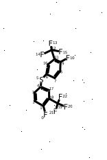 Fc1ccc(Sc2ccc(F)c(C(F)(F)F)c2)cc1C(F)(F)F